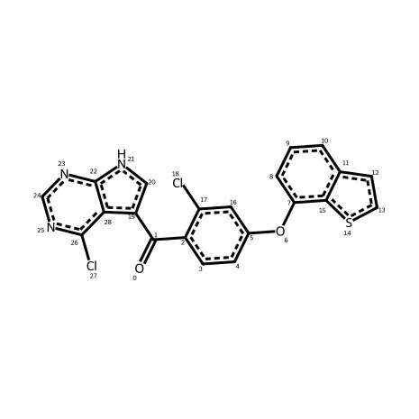 O=C(c1ccc(Oc2cccc3ccsc23)cc1Cl)c1c[nH]c2ncnc(Cl)c12